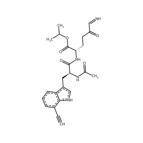 C#Cc1cccc2c(C[C@H](NC(C)=O)C(=O)N[C@@H](CCC(=O)C=N)C(=O)OC(C)C)c[nH]c12